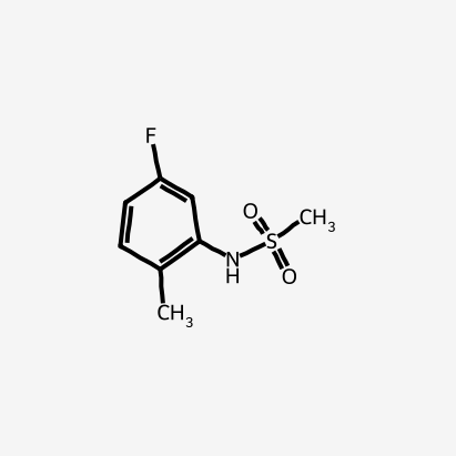 Cc1ccc(F)cc1NS(C)(=O)=O